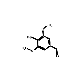 COc1cc(CBr)cc(OC)c1C